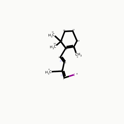 CC1=C(/C=C/C(C)=C\I)C(C)(C)CCC1